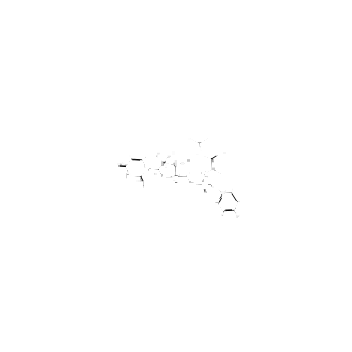 CC(C)OC(=O)C(C)NP(=O)(OC[C@@]1(F)OC(n2ccc(=O)[nH]c2=O)[C@](C)(O)[C@@H]1O)Oc1ccc(Cl)cc1